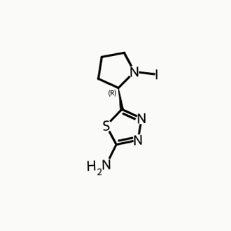 Nc1nnc([C@H]2CCCN2I)s1